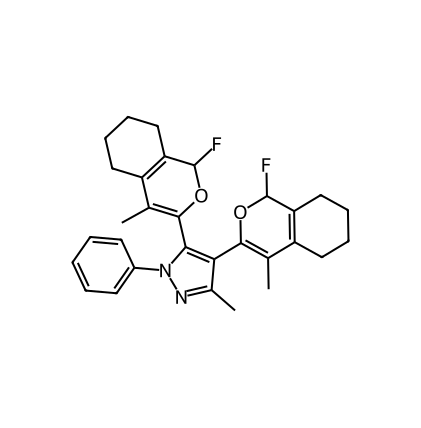 CC1=C(c2c(C)nn(-c3ccccc3)c2C2=C(C)C3=C(CCCC3)C(F)O2)OC(F)C2=C1CCCC2